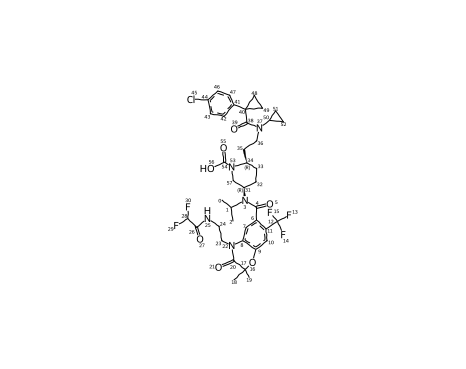 CC(C)N(C(=O)c1cc2c(cc1C(F)(F)F)OC(C)(C)C(=O)N2CCNC(=O)C(F)F)[C@@H]1CC[C@H](CCN(C(=O)C2(c3ccc(Cl)cc3)CC2)C2CC2)N(C(=O)O)C1